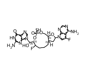 Nc1nc2c(ncn2[C@H](O)[C@@H]2OP(=O)(S)OC[C@H]3OC(n4cc(F)c5c(N)ncnc54)C[C@@H]3CCCC2F)c(=O)[nH]1